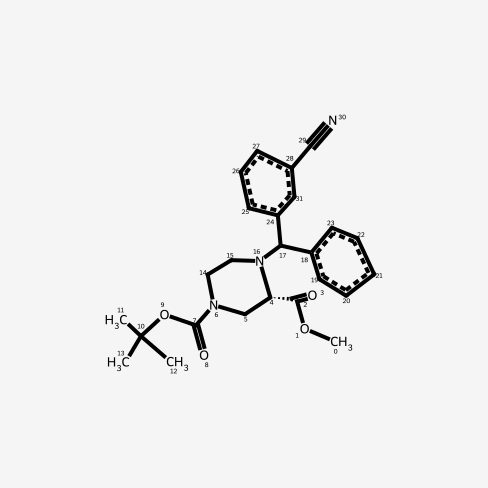 COC(=O)[C@@H]1CN(C(=O)OC(C)(C)C)CCN1C(c1ccccc1)c1cccc(C#N)c1